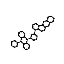 c1ccc(-c2c3ccccc3c(-c3cccc(-c4cccc5c4ccc4cc6ccccc6cc45)c3)c3ccccc23)cc1